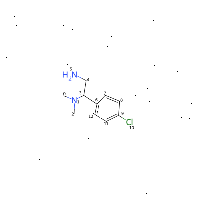 CN(C)C(CN)c1ccc(Cl)cc1